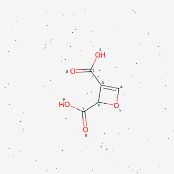 O=C(O)C1=COC1C(=O)O